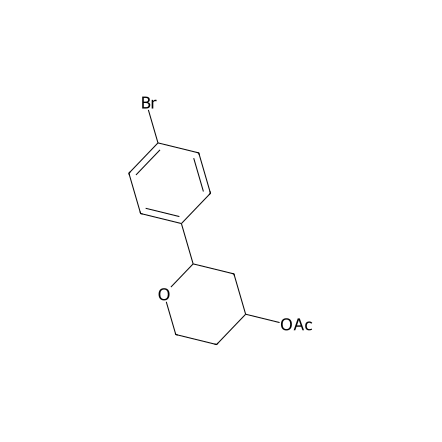 CC(=O)OC1CCOC(c2ccc(Br)cc2)C1